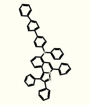 c1ccc(-c2ccc(-c3ccc(N(c4ccccc4)c4cccc5c4cc(-c4ccccc4)n4nc(-c6ccccc6)c(-c6ccccc6)c54)cc3)cc2)cc1